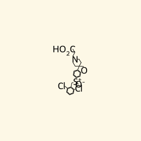 O=C(O)CCN1CCC2(CC1)COc1cc([S+]([O-])Cc3c(Cl)cccc3Cl)ccc12